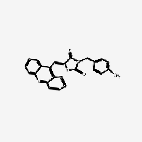 Cc1ccc(CN2C(=O)SC(=Cc3c4ccccc4nc4ccccc34)C2=S)cc1